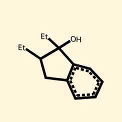 CCC1Cc2ccccc2C1(O)CC